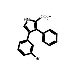 O=C(O)c1[nH]cc(-c2cccc(Br)c2)c1-c1ccccc1